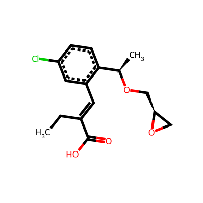 CC/C(=C\c1cc(Cl)ccc1[C@@H](C)OC[C@H]1CO1)C(=O)O